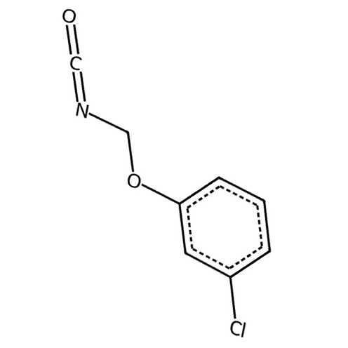 O=C=NCOc1cccc(Cl)c1